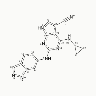 N#Cc1c[nH]c2nc(Nc3ccc4cn[nH]c4c3)nc(NC3CC3)c12